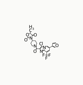 C[C@@H]1OC(=O)N(C2CCN(C(=O)c3nc4c(C(F)(F)F)cc(-c5ccoc5)cn4c3Cl)CC2)C1=O